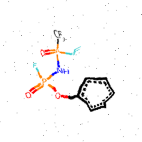 O=P(F)(NP(=O)(F)C(F)(F)F)Oc1ccccc1